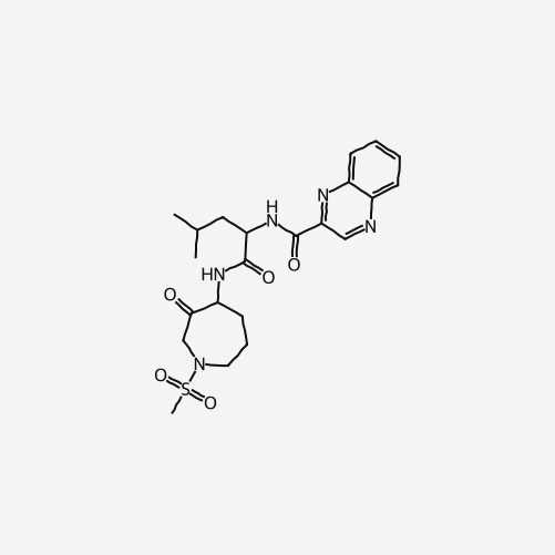 CC(C)CC(NC(=O)c1cnc2ccccc2n1)C(=O)NC1CCCN(S(C)(=O)=O)CC1=O